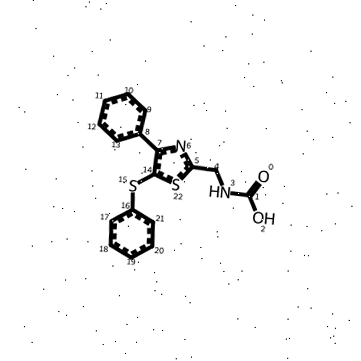 O=C(O)NCc1nc(-c2ccccc2)c(Sc2ccccc2)s1